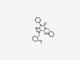 COc1ccccc1Cn1cnc2c1C(O)N(Cc1ccccc1)C(=O)N2c1ccccc1